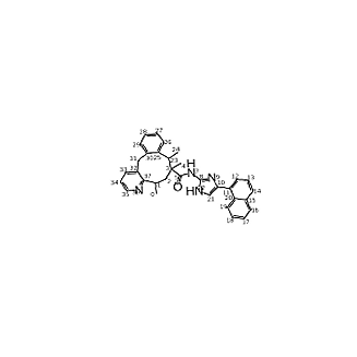 CC1CC(C)(C(=O)Nc2nc(-c3cccc4ccccc34)c[nH]2)C(C)c2ccccc2Cc2cccnc21